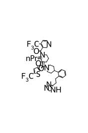 CCC[C@H]1N(C(=O)c2cnccc2C(F)(F)F)CCC[C@@]1(Oc1csc(C(F)(F)F)c1)C(=O)N1CCC(c2ccccc2CCc2nnc[nH]2)CC1